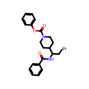 CC(C)CC(NC(=O)c1ccccc1)C1CCN(C(=O)Oc2ccccc2)CC1